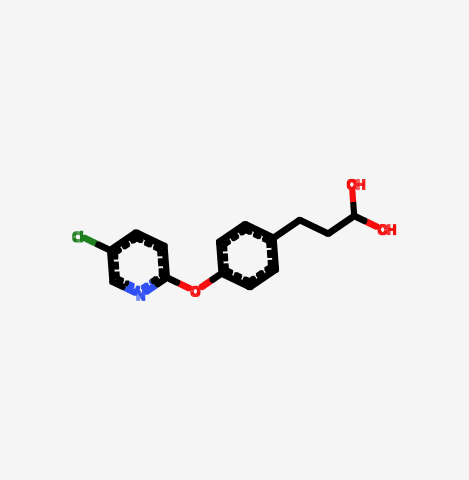 OC(O)CCc1ccc(Oc2ccc(Cl)cn2)cc1